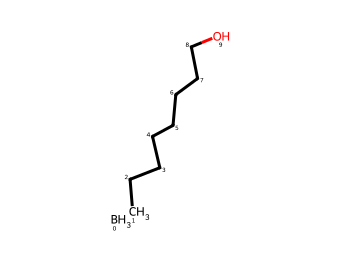 B.CCCCCCCCO